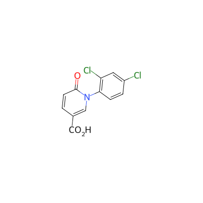 O=C(O)c1ccc(=O)n(-c2ccc(Cl)cc2Cl)c1